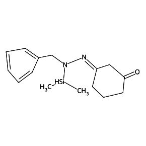 C[SiH](C)N(Cc1ccccc1)N=C1CCCC(=O)C1